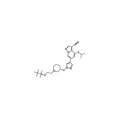 CC(C)Sc1cc(-c2cnn(C[C@@H]3CCCN(CCO[Si](C)(C)C(C)(C)C)C3)c2)cn2ncc(C#N)c12